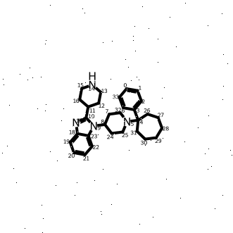 c1ccc(C2(N3CCC(n4c(C5CCNCC5)nc5ccccc54)CC3)CCCCCC2)cc1